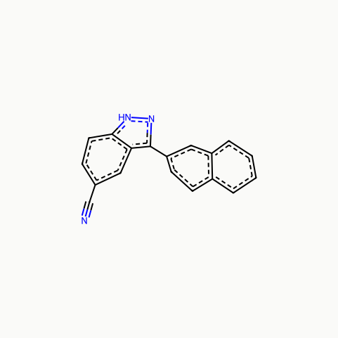 N#Cc1ccc2[nH]nc(-c3ccc4ccccc4c3)c2c1